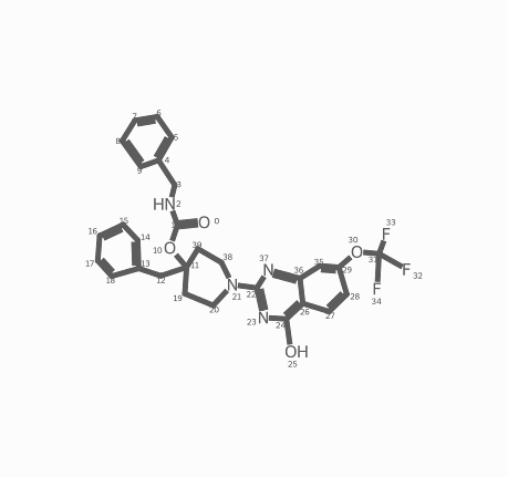 O=C(NCc1ccccc1)OC1(Cc2ccccc2)CCN(c2nc(O)c3ccc(OC(F)(F)F)cc3n2)CC1